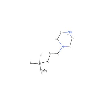 CO[Si](C)(C)CCCN1CCNCC1